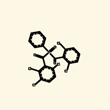 O=C(c1c(Cl)cccc1Cl)P(=O)(C(=O)c1c(Cl)ccc(Cl)c1Cl)c1ccccc1